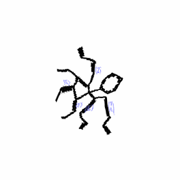 C=C/C=C\C1=C(C=C)C(=C/C)/C(=C\C)C1(C(/C=C\C=C)=C/C=C)c1ccccc1